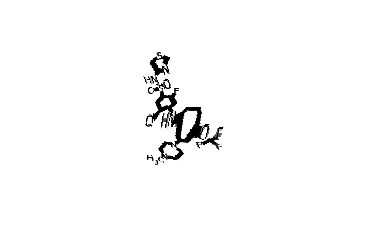 CN1CCN(c2cc(OC(F)(F)F)ccc2Nc2cc(F)c(S(=O)(=O)Nc3cscn3)cc2Cl)CC1